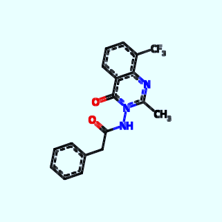 Cc1nc2c(C(F)(F)F)cccc2c(=O)n1NC(=O)Cc1ccccc1